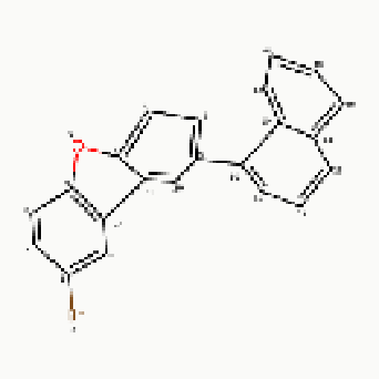 Brc1ccc2oc3ccc(-c4cccc5ccccc45)cc3c2c1